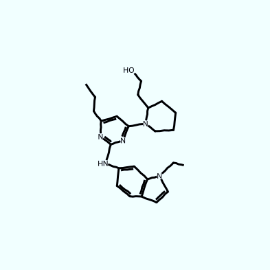 CCCc1cc(N2CCCCC2CCO)nc(Nc2ccc3ccn(CC)c3c2)n1